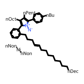 CCCCCCCCCCCCCCCCCCC=CCCCc1ccccc1C1=C(CCCCCCCC)C(CCCCC)=C(c2ccc(CCCC)cc2)[N+]1=[N-].CCCCCCCC[CH2][Ni][CH2]CCCCCCCC